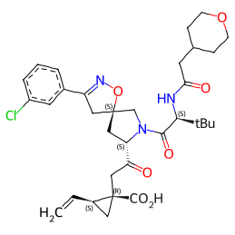 C=C[C@@H]1C[C@]1(CC(=O)[C@@H]1C[C@]2(CC(c3cccc(Cl)c3)=NO2)CN1C(=O)[C@@H](NC(=O)CC1CCOCC1)C(C)(C)C)C(=O)O